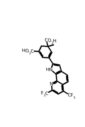 CC1(C(=O)O)C=C(c2cc3ccc4c(C(F)(F)F)cc(C(F)(F)F)nc4c3[nH]2)C=C(C(=O)O)C1